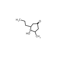 CCCC1CC(=O)CC(C)N1O